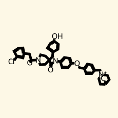 O=C(Cc1cccc(Cl)c1)N1CCC2(CC1)C(=O)N(c1ccc(OCc3ccc(C[N+]45CCC(CC4)CC5)cc3)cc1)C2c1ccc(O)cc1